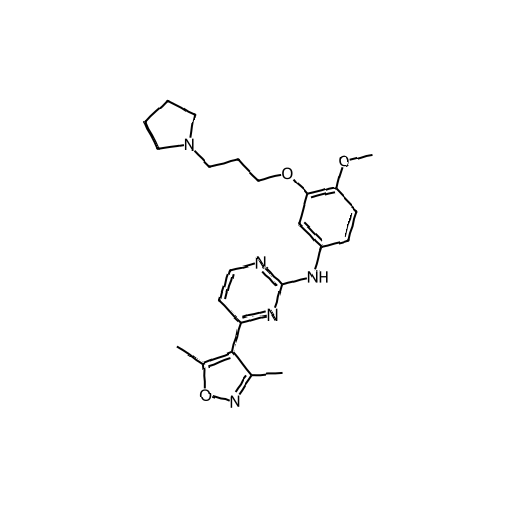 COc1ccc(Nc2nccc(-c3c(C)noc3C)n2)cc1OCCCN1CCCC1